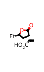 C=CC(=O)O.CCC1CCC(=O)O1